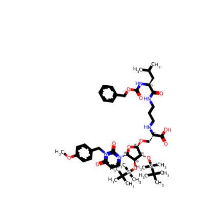 COc1ccc(Cn2c(=O)ccn([C@@H]3O[C@@H](OC[C@H](NCCCNC(=O)[C@H](CC(C)C)NC(=O)OCc4ccccc4)C(=O)O)[C@H](O[Si](C)(C)C(C)(C)C)[C@H]3O[Si](C)(C)C(C)(C)C)c2=O)cc1